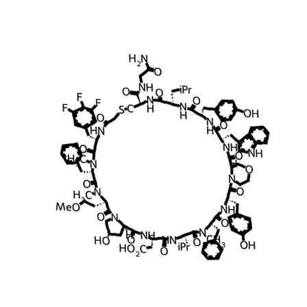 COCC[C@H]1C(=O)N2C[C@@H](O)C[C@@H]2C(=O)N[C@@H](CC(=O)O)C(=O)N[C@@H](C(C)C)C(=O)N(C)[C@@H](Cc2ccccc2)C(=O)N[C@@H](Cc2ccc(O)cc2)C(=O)N2CCOC[C@@H]2C(=O)N[C@@H](Cc2c[nH]c3ccccc23)C(=O)N[C@@H](Cc2ccc(O)cc2)C(=O)N[C@@H](CC(C)C)C(=O)N[C@H](C(=O)NCC(N)=O)CSCC(=O)N[C@@H](Cc2cc(F)c(F)c(F)c2)C(=O)N(C)[C@@H](Cc2ccccc2)C(=O)N1C